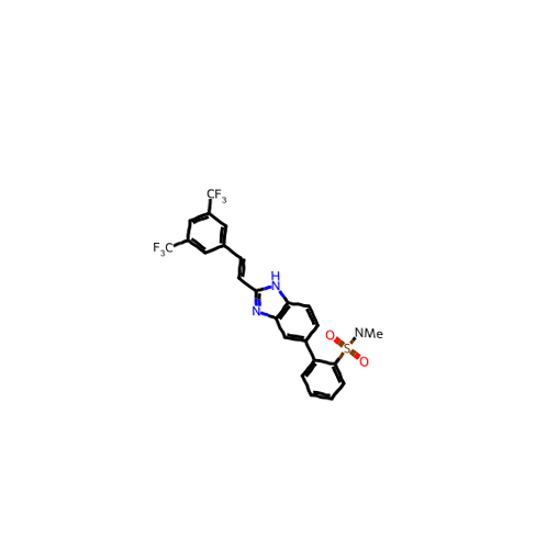 CNS(=O)(=O)c1ccccc1-c1ccc2[nH]c(C=Cc3cc(C(F)(F)F)cc(C(F)(F)F)c3)nc2c1